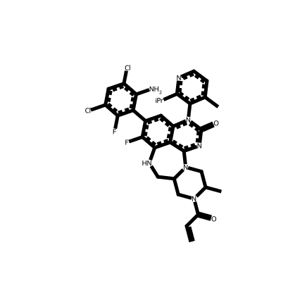 C=CC(=O)N1CC2CNc3c(F)c(-c4c(N)c(Cl)cc(Cl)c4F)cc4c3c(nc(=O)n4-c3c(C)ccnc3C(C)C)N2CC1C